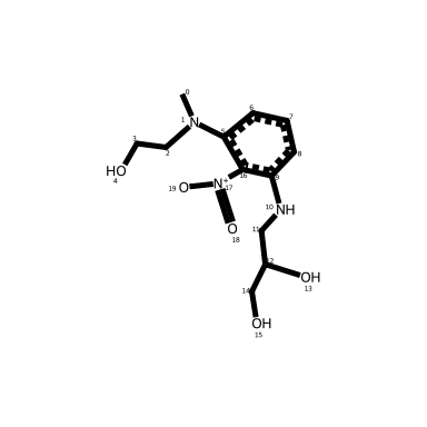 CN(CCO)c1cccc(NCC(O)CO)c1[N+](=O)[O-]